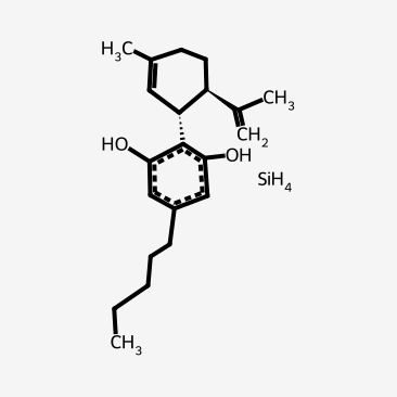 C=C(C)[C@@H]1CCC(C)=C[C@H]1c1c(O)cc(CCCCC)cc1O.[SiH4]